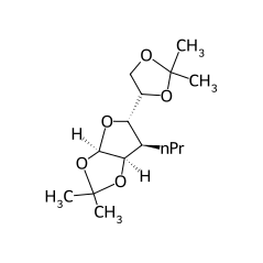 CCC[C@H]1[C@H]2OC(C)(C)O[C@H]2O[C@@H]1C1COC(C)(C)O1